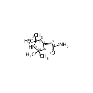 CC1(C)CC(=CC(N)=O)CC(C)(C)N1